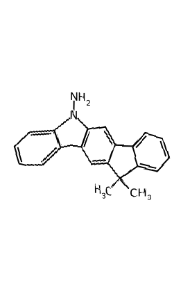 CC1(C)c2ccccc2-c2cc3c(cc21)c1ccccc1n3N